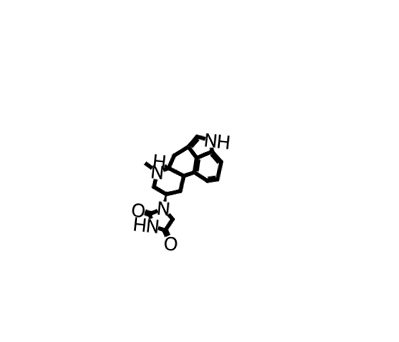 CN1C[C@H](N2CC(=O)NC2=O)CC2c3cccc4[nH]cc(c34)C[C@H]21